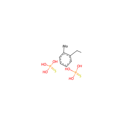 CCc1cccc[c]1[Mo].OP(O)(O)=S.OP(O)(O)=S